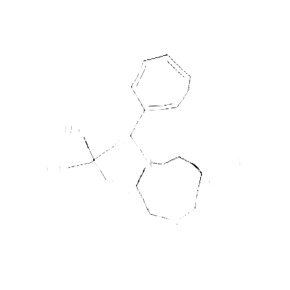 CC(C)(C)C[C@H]1CNC[C@@H](O)CN1Cc1ccccc1